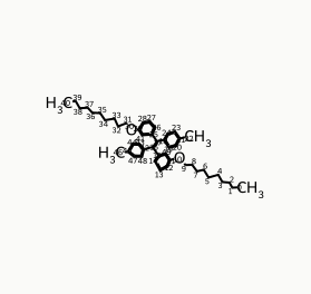 CCCCCCCCCCOc1cccc(/C(=C(\c2ccc(C)cc2)c2cccc(OCCCCCCCCCC)c2)c2ccc(C)cc2)c1